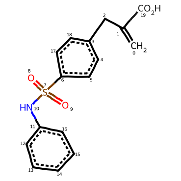 C=C(Cc1ccc(S(=O)(=O)Nc2ccccc2)cc1)C(=O)O